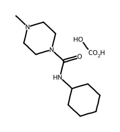 CN1CCN(C(=O)NC2CCCCC2)CC1.O=C(O)O